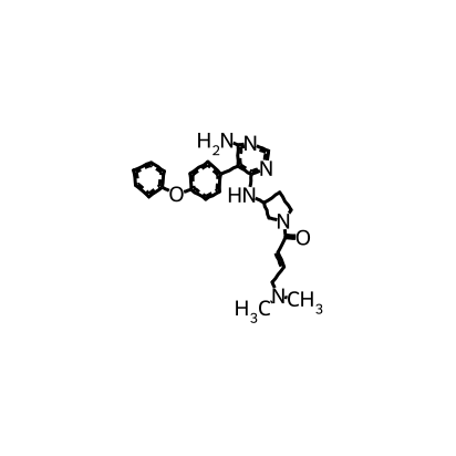 CN(C)CC=CC(=O)N1CCC(Nc2ncnc(N)c2-c2ccc(Oc3ccccc3)cc2)C1